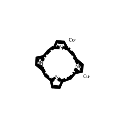 C1=Cc2cc3ccc(cc4nc(cc5ccc(cc1n2)[nH]5)C=C4)[nH]3.[Co].[Cu]